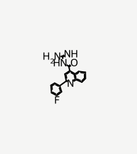 N=C(N)NC(=O)c1cc(-c2cccc(F)c2)nc2ccccc12